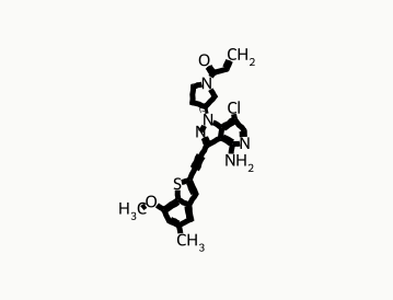 C=CC(=O)N1CC[C@H](n2nc(C#Cc3cc4cc(C)cc(OC)c4s3)c3c(N)ncc(Cl)c32)C1